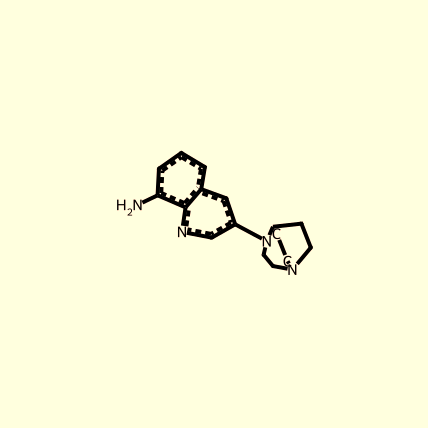 Nc1cccc2cc(N3CCN4CCC3CC4)cnc12